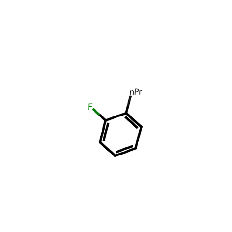 [CH2]CCc1ccccc1F